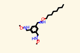 CCCCCCCCONCc1cc(CNOC)cc(CNOC)c1